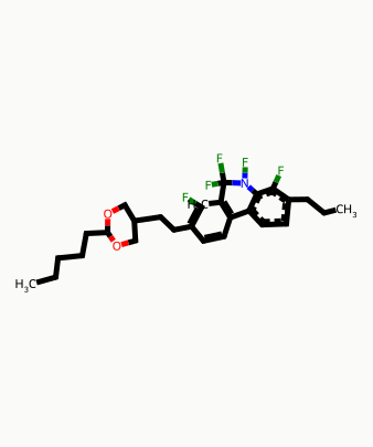 CCCCCC1OCC(CCC(/C=C\C2=C(C)C(F)(F)N(F)c3c2ccc(CCC)c3F)=C\F)CO1